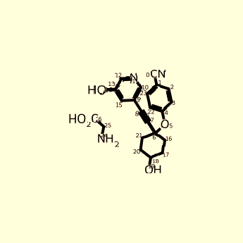 N#Cc1ccc(OC2(C#Cc3cncc(O)c3)CCC(O)CC2)cc1.NCC(=O)O